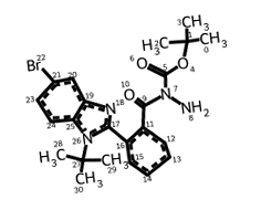 CC(C)(C)OC(=O)N(N)C(=O)c1ccccc1-c1nc2cc(Br)ccc2n1C(C)(C)C